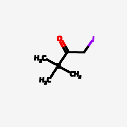 C[Si](C)(C)C(=O)CI